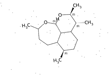 CC1CCC2C3C(CC[C@H]2C)[C@@H](C)[C@H](C)O[C@@H]3O1